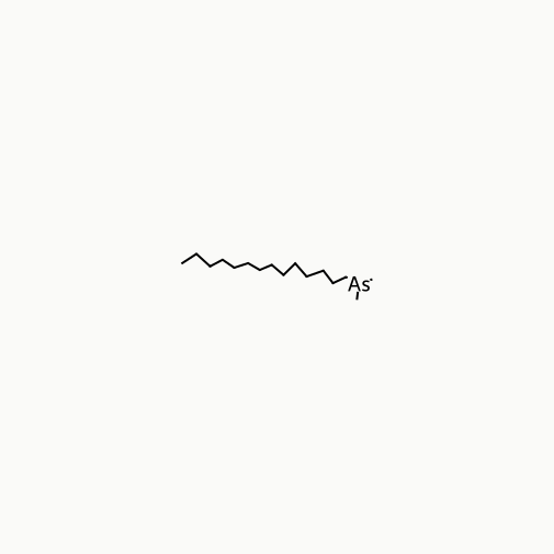 CCCCCCCCCCCCCC[As](C)C